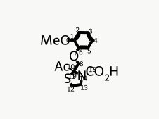 COc1ccccc1OC[C@@]1(C(C)=O)SCCN1C(=O)O